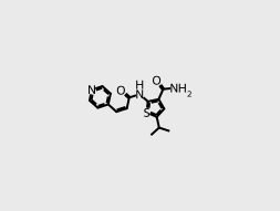 CC(C)c1cc(C(N)=O)c(NC(=O)/C=C\c2ccncc2)s1